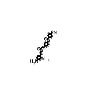 N#Cc1ccc(C(=O)Oc2ccc(C=CC(=O)OCCc3ccc(N)cc3N)cc2)cc1